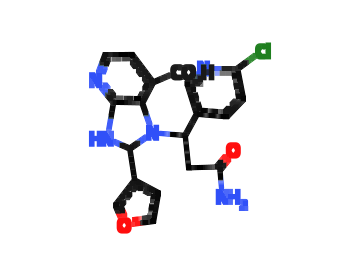 NC(=O)CC(c1ccc(Cl)nc1)N1c2c(C(=O)O)ccnc2NC1c1ccoc1